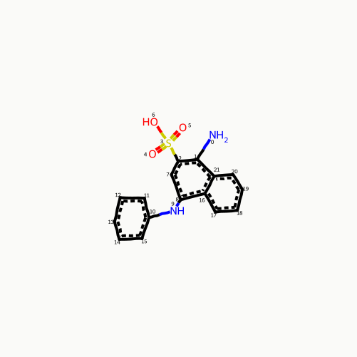 Nc1c(S(=O)(=O)O)cc(Nc2ccccc2)c2ccccc12